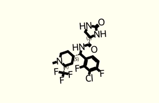 CN1CC[C@H](C(NC(=O)[C@@H]2CNC(=O)N2)c2ccc(F)c(Cl)c2F)C[C@@H]1C(F)(F)F